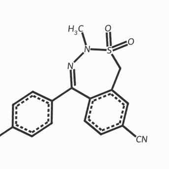 CN1N=C(c2ccc(F)cc2)c2ccc(C#N)cc2CS1(=O)=O